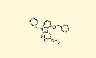 CCc1c(CC(N)=O)c2c(OCc3ccccc3)cccn2c1Cc1ccccc1